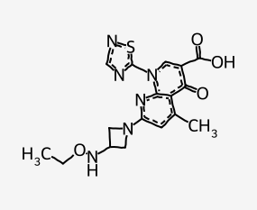 CCONC1CN(c2cc(C)c3c(=O)c(C(=O)O)cn(-c4ncns4)c3n2)C1